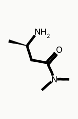 C[C@@H](N)CC(=O)N(C)C